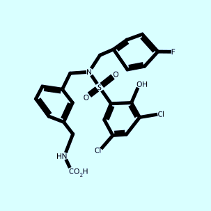 O=C(O)NCc1cccc(CN(Cc2ccc(F)cc2)S(=O)(=O)c2cc(Cl)cc(Cl)c2O)c1